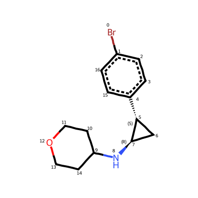 Brc1ccc([C@@H]2C[C@H]2NC2CCOCC2)cc1